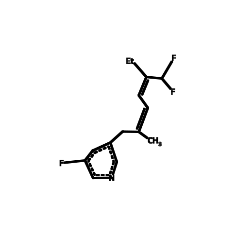 CC/C(=C/C=C(/C)Cc1cncc(F)c1)C(F)F